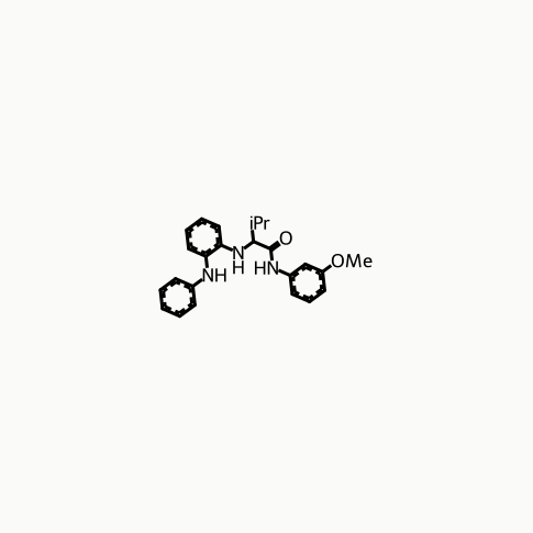 COc1cccc(NC(=O)C(Nc2ccccc2Nc2ccccc2)C(C)C)c1